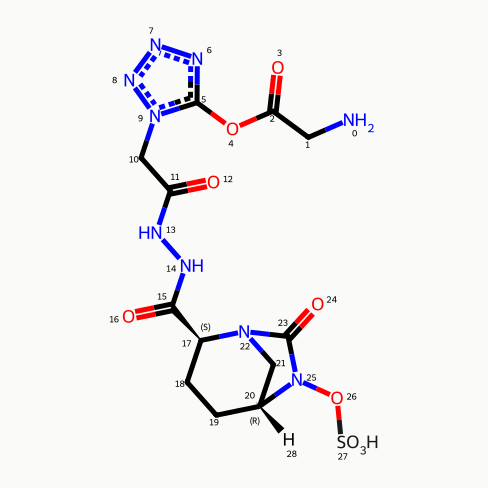 NCC(=O)Oc1nnnn1CC(=O)NNC(=O)[C@@H]1CC[C@@H]2CN1C(=O)N2OS(=O)(=O)O